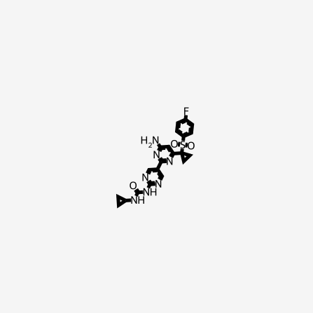 Nc1cc(C2(S(=O)(=O)c3ccc(F)cc3)CC2)nc(-c2cnc(NC(=O)NC3CC3)nc2)n1